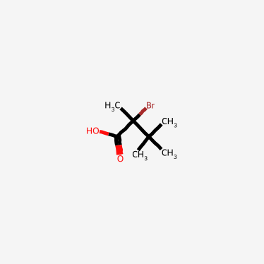 CC(C)(C)C(C)(Br)C(=O)O